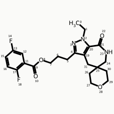 CCn1nc(CCCOC(=O)c2cc(F)ccc2F)c2c1C(=O)NCC1(CCOCC1)C2